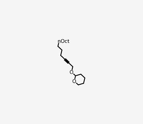 CCCCCCCCCCCC#CCOC1CCCCO1